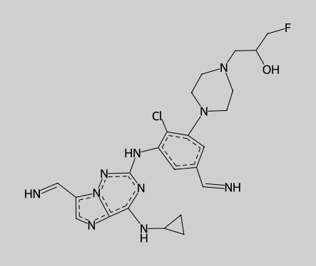 N=Cc1cc(Nc2nc(NC3CC3)c3ncc(C=N)n3n2)c(Cl)c(N2CCN(CC(O)CF)CC2)c1